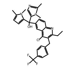 CCc1nc2ccc(C(O)(c3ccc(C)n3C)c3cnc(C)n3C)cc2c(Cl)c1Cc1ccc(C(F)(F)F)cc1